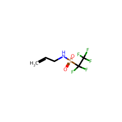 C=CCNS(=O)(=O)C(F)(F)C(F)(F)F